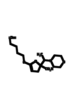 CCCCCCCCCCCCCCOC1=CCC(C(=O)O)(C(C)N2CCOCC2)O1